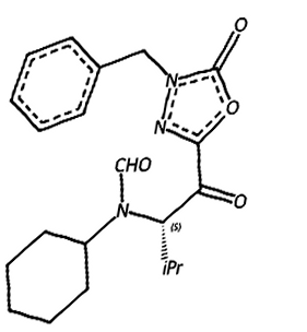 CC(C)[C@@H](C(=O)c1nn(Cc2ccccc2)c(=O)o1)N(C=O)C1CCCCC1